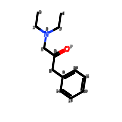 CCN(CC)CC(=O)Cc1ccccc1